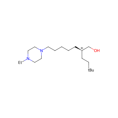 CCN1CCN(CCCCC[C@@H](CO)CCC(C)(C)C)CC1